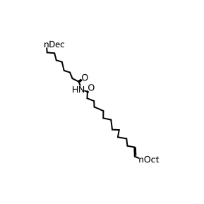 CCCCCCCCC=CCCCCCCCCCCCC(=O)NC(=O)CCCCCCCCCCCCCCCCC